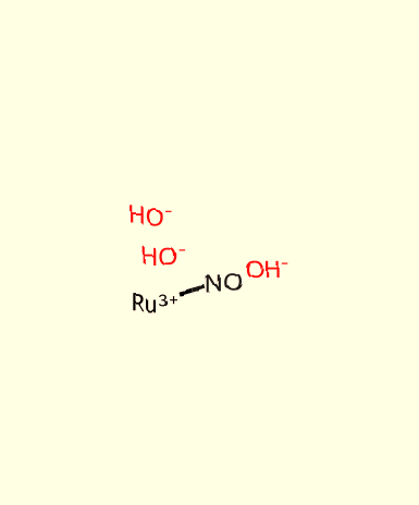 O=[N][Ru+3].[OH-].[OH-].[OH-]